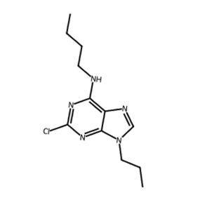 CCCCNc1nc(Cl)nc2c1ncn2CCC